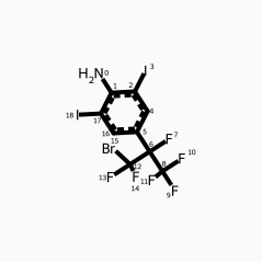 Nc1c(I)cc(C(F)(C(F)(F)F)C(F)(F)Br)cc1I